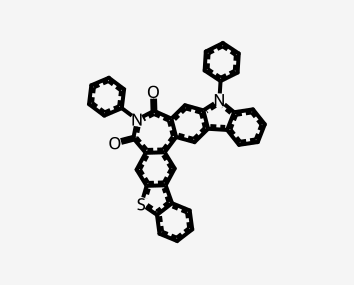 O=c1c2cc3sc4ccccc4c3cc2c2cc3c4ccccc4n(-c4ccccc4)c3cc2c(=O)n1-c1ccccc1